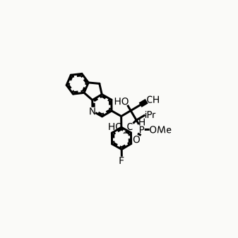 C#CC(O)(C(c1ccc(F)cc1)c1cnc2c(c1)Cc1ccccc1-2)C(C(=O)O)(C(C)C)[PH](=O)OC